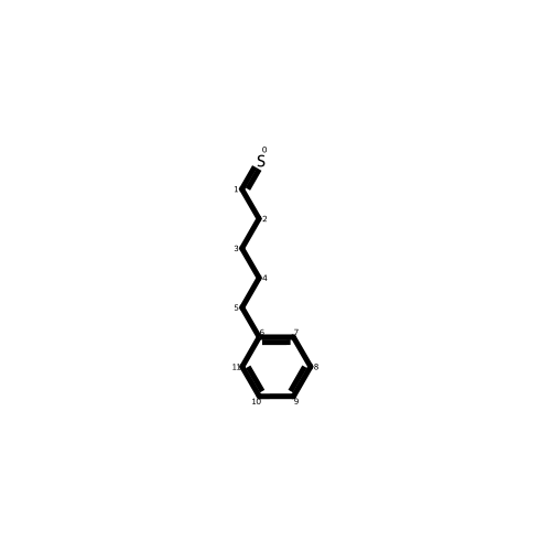 S=CCCCCc1ccccc1